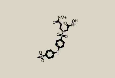 CNC(=O)CCN(CC(=O)NO)S(=O)(=O)c1ccc(Oc2ccc(S(C)(=O)=O)cc2)cc1